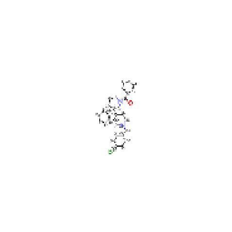 O=C(c1ccccc1)N1CCCC(c2ccccc2)(C2CCN(Cc3ccc(Br)cc3)CC2)C1